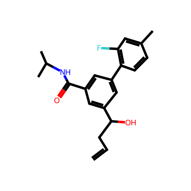 C=CCC(O)c1cc(C(=O)NC(C)C)cc(-c2ccc(C)cc2F)c1